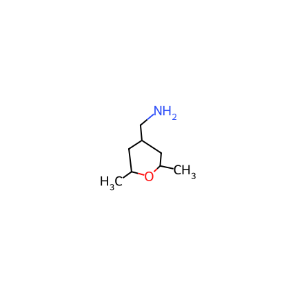 CC1CC(CN)CC(C)O1